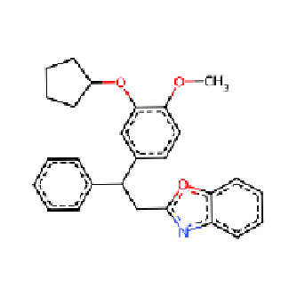 COc1ccc(C(Cc2nc3ccccc3o2)c2ccccc2)cc1OC1CCCC1